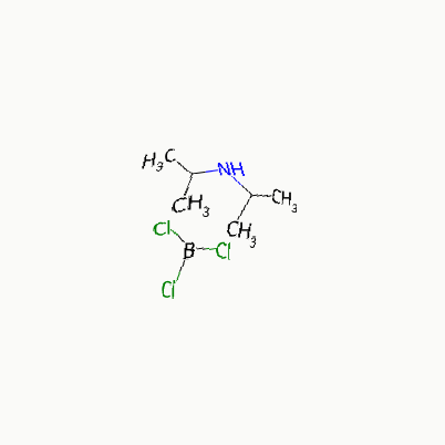 CC(C)NC(C)C.ClB(Cl)Cl